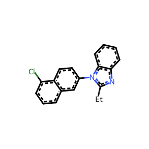 CCc1nc2ccccc2n1-c1ccc2c(Cl)cccc2c1